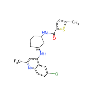 Cc1ccc(C(=O)NC2CCC[C@H](Nc3cc(C(F)(F)F)nc4ccc(Cl)cc34)C2)s1